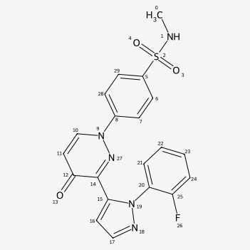 CNS(=O)(=O)c1ccc(-n2ccc(=O)c(-c3ccnn3-c3ccccc3F)n2)cc1